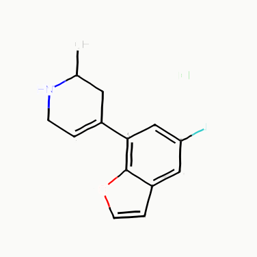 CC1CC(c2cc(F)cc3ccoc23)=CCN1.Cl